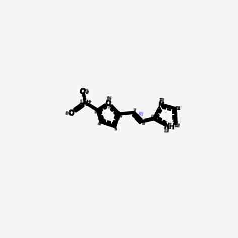 O=[N+]([O-])c1ccc(/C=C/c2ncc[nH]2)o1